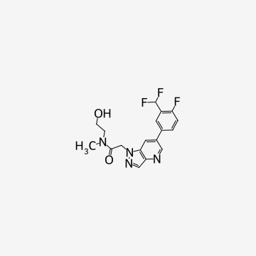 CN(CCO)C(=O)Cn1ncc2ncc(-c3ccc(F)c(C(F)F)c3)cc21